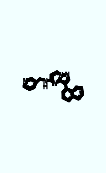 c1cncc(CNc2ccn3ncc(-c4cccc5ccccc45)c3n2)c1